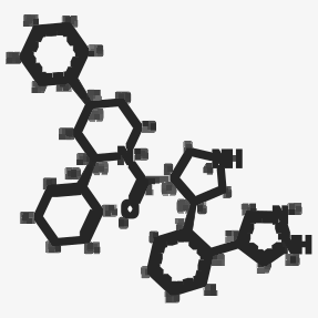 O=C([C@@H]1CNC[C@H]1c1ccccc1-c1cn[nH]c1)N1CC[C@H](c2ccccc2)C[C@@H]1C1=CCCC=C1